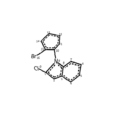 Clc1cc2ccccc2n1-c1ccccc1Br